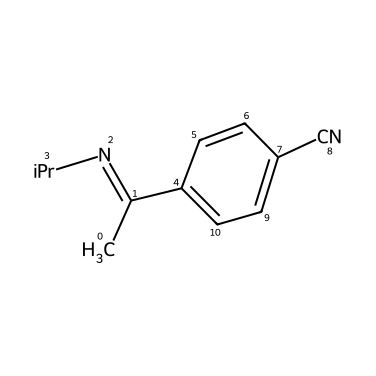 C/C(=N\C(C)C)c1ccc(C#N)cc1